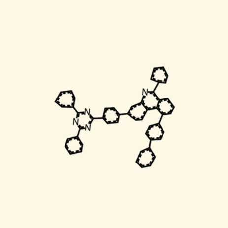 c1ccc(-c2ccc(-c3cccc4c(-c5ccccc5)nc5cc(-c6ccc(-c7nc(-c8ccccc8)nc(-c8ccccc8)n7)cc6)ccc5c34)cc2)cc1